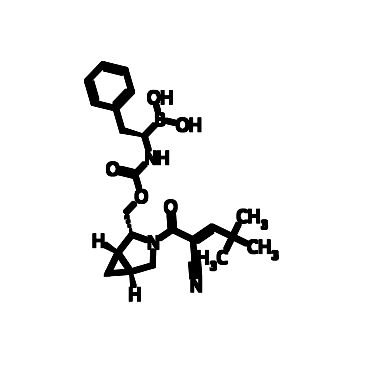 CC(C)(C)/C=C(\C#N)C(=O)N1C[C@@H]2C[C@@H]2[C@@H]1COC(=O)N[C@@H](Cc1ccccc1)B(O)O